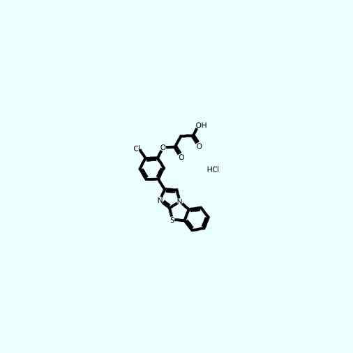 Cl.O=C(O)CC(=O)Oc1cc(-c2cn3c(n2)sc2ccccc23)ccc1Cl